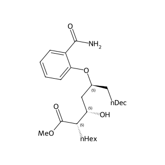 CCCCCCCCCCC[C@@H](C[C@H](O)[C@H](CCCCCC)C(=O)OC)Oc1ccccc1C(N)=O